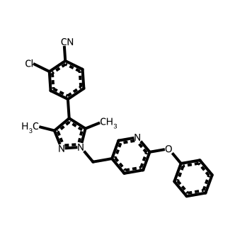 Cc1nn(Cc2ccc(Oc3ccccc3)nc2)c(C)c1-c1ccc(C#N)c(Cl)c1